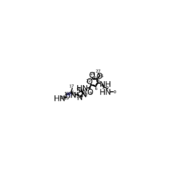 CNCCNc1cc(C(=O)Nc2nnc(N/C(C)=C\C=N)s2)oc(=O)c1OC